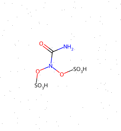 NC(=O)N(OS(=O)(=O)O)OS(=O)(=O)O